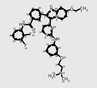 CCOc1ccn2c(-c3ccnc(Nc4cccc(OCCN(C)C)c4)n3)c(-c3cccc(C(=O)Nc4cccc(F)c4F)c3)nc2c1